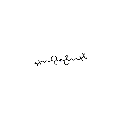 CC(C)(CCCCC1CCCC(/C=C/C2CCCC(CCCCC(C)(C)C(=O)O)C2O)C1O)C(=O)O